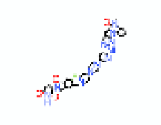 CN(C)C(=O)c1cc2cnc(Nc3ccc(N4CCN(C5CCN(Cc6cc7c(cc6F)C(=O)N(C6CCC(=O)NC6=O)C7)CC5)CC4)cn3)nc2n1C1CCCC1